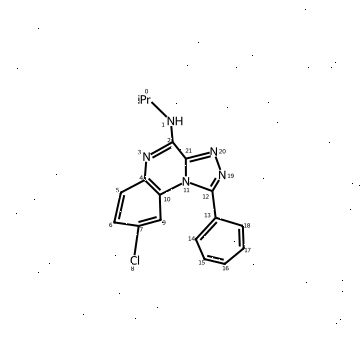 CC(C)Nc1nc2ccc(Cl)cc2n2c(-c3ccccc3)nnc12